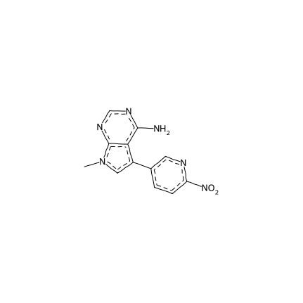 Cn1cc(-c2ccc([N+](=O)[O-])nc2)c2c(N)ncnc21